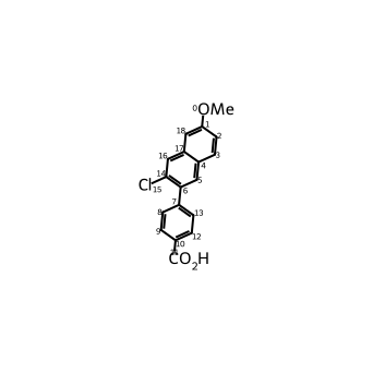 COc1ccc2cc(-c3ccc(C(=O)O)cc3)c(Cl)cc2c1